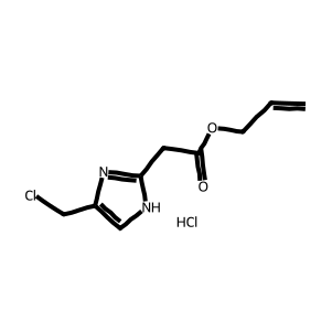 C=CCOC(=O)Cc1nc(CCl)c[nH]1.Cl